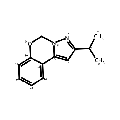 CC(C)c1cc2n(n1)COc1ccccc1-2